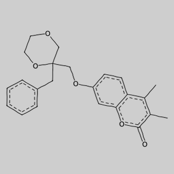 Cc1c(C)c2ccc(OCC3(Cc4ccccc4)COCCO3)cc2oc1=O